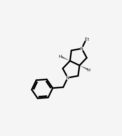 CCN1C[C@@H]2CN(Cc3ccccc3)C[C@@H]2C1